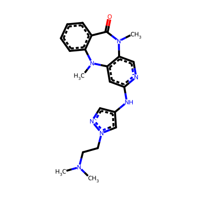 CN(C)CCn1cc(Nc2cc3c(cn2)N(C)C(=O)c2ccccc2N3C)cn1